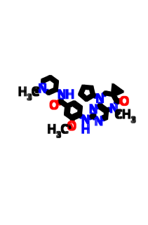 COc1cc(C(=O)N[C@H]2CCCN(C)C2)ccc1Nc1ncc2c(n1)N(C1CCCC1)CC1(CC1)C(=O)N2C